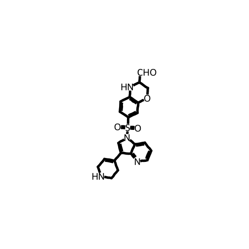 O=CC1COc2cc(S(=O)(=O)n3cc(C4=CCNCC4)c4ncccc43)ccc2N1